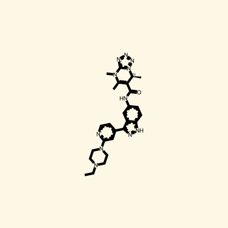 CCN1CCN(c2cc(-c3n[nH]c4ccc(NC(=O)C5=C(C)N(C)c6nnnn6[C@H]5C)cc34)ccn2)CC1